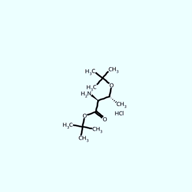 C[C@@H](OC(C)(C)C)[C@H](N)C(=O)OC(C)(C)C.Cl